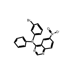 O=[N+]([O-])c1ccc2ncnc(N(c3ccccc3)c3cccc(Br)c3)c2c1